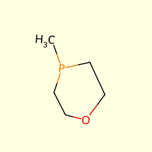 CP1CCOCC1